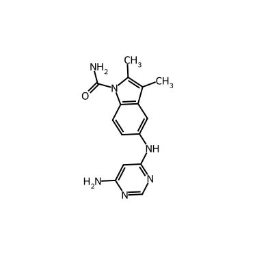 Cc1c(C)n(C(N)=O)c2ccc(Nc3cc(N)ncn3)cc12